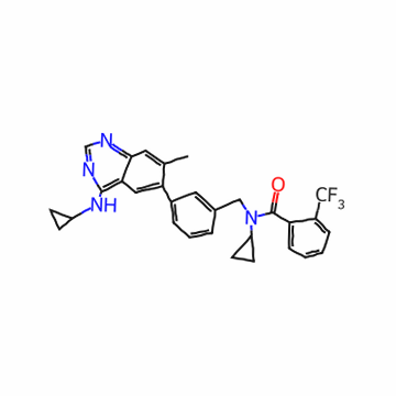 Cc1cc2ncnc(NC3CC3)c2cc1-c1cccc(CN(C(=O)c2ccccc2C(F)(F)F)C2CC2)c1